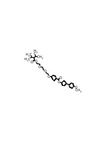 COc1ccc(-c2ccc(OC(=O)c3ccc(OCCOCCOCCOC(=O)C(C(C)C)C(C)C)cc3)cc2)cc1